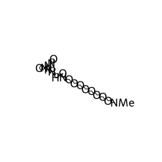 CNCCOCCOCCOCCOCCOCCOCCOCCOCCNC(=O)c1cccc(-c2ccc3c(N4CCOC[C@H]4C)nc(N4CCOC[C@H]4C)nc3n2)c1